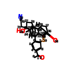 CC(=O)c1ccc2c(c1)S[C@]13CCC(=O)C=C1CC[C@@H]1[C@@H]3[C@@H]2C[C@@]2(C)[C@H]1CC[C@@]2(O)CC#N